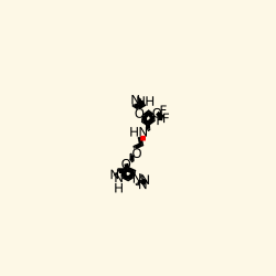 FC(F)(F)Oc1cc(CNCCCCOCCOc2cc(-n3cnnc3)cc3[nH]ncc23)cc(Oc2cn[nH]c2)c1